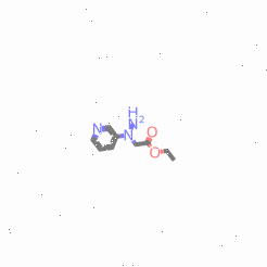 CCOC(=O)CN(N)c1cccnc1